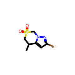 CC1CS(=O)(=O)Cn2nc(Br)cc21